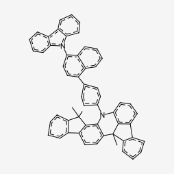 CC1(C)c2ccccc2-c2ccc3c(c21)N(c1ccc(-c2ccc(-n4c5ccccc5c5ccccc54)c4ccccc24)cc1)c1cccc2c1C3(C)c1ccccc1-2